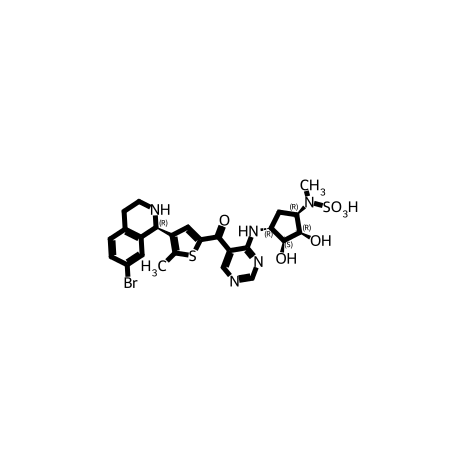 Cc1sc(C(=O)c2cncnc2N[C@@H]2C[C@@H](N(C)S(=O)(=O)O)[C@@H](O)[C@H]2O)cc1[C@@H]1NCCc2ccc(Br)cc21